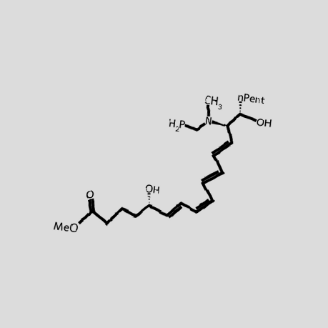 CCCCC[C@H](O)[C@@H](/C=C/C=C/C=C\C=C\[C@@H](O)CCCC(=O)OC)N(C)CP